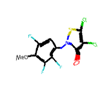 COc1c(F)cc(-n2sc(Cl)c(Cl)c2=O)c(F)c1F